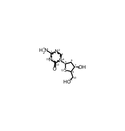 Nc1ncn([C@H]2C[C@@H](O)C(CO)S2)c(=O)n1